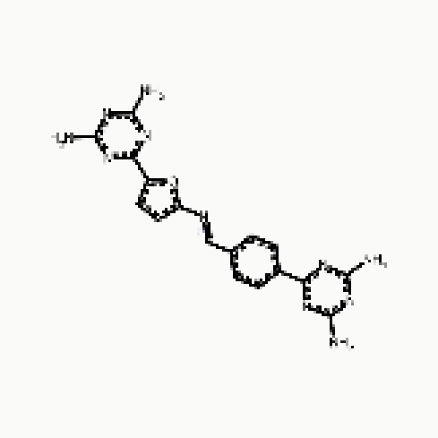 Nc1nc(N)nc(-c2ccc(/C=N/c3ccc(-c4nc(N)nc(N)n4)o3)cc2)n1